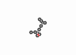 c1ccc(-c2ccc(N(c3ccccc3)c3ccc(-c4ccc(-n5c6ccccc6c6cc7ccccc7cc65)cc4)cc3)c(-c3ccccc3)c2)cc1